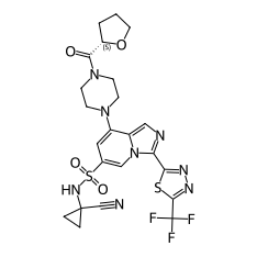 N#CC1(NS(=O)(=O)c2cc(N3CCN(C(=O)[C@@H]4CCCO4)CC3)c3cnc(-c4nnc(C(F)(F)F)s4)n3c2)CC1